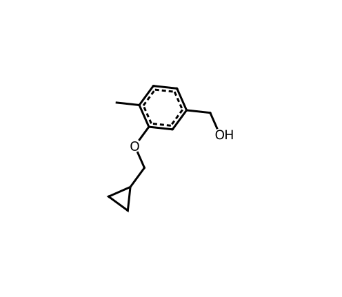 Cc1ccc(CO)cc1OCC1CC1